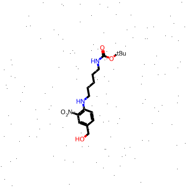 CC(C)(C)OC(=O)NCCCCCNc1ccc(CO)cc1[N+](=O)[O-]